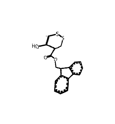 O=C(OCC1c2ccccc2-c2ccccc21)C1CSS[CH]C1O